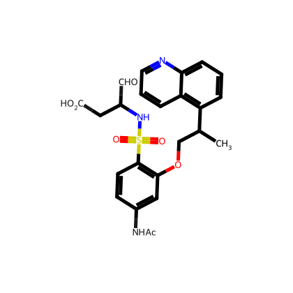 CC(=O)Nc1ccc(S(=O)(=O)NC(C=O)CC(=O)O)c(OCC(C)c2cccc3ncccc23)c1